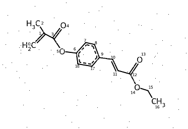 C=C(C)C(=O)Oc1ccc(/C=C/C(=O)OCC)cc1